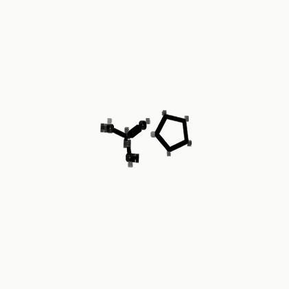 C1CCCC1.O=[PH](O)O